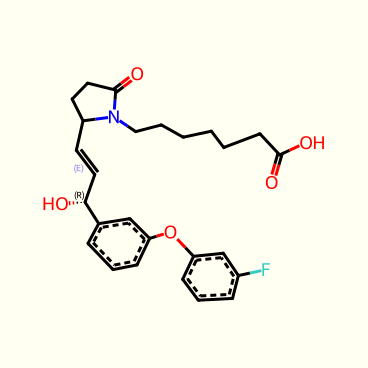 O=C(O)CCCCCCN1C(=O)CCC1/C=C/[C@@H](O)c1cccc(Oc2cccc(F)c2)c1